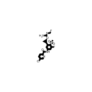 CS(=O)(=O)c1c(F)cc(NC(=O)c2ccc(Cl)cn2)cc1C1C[C@H]1O/C(N)=N\CF